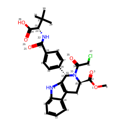 COC(=O)[C@H]1Cc2c([nH]c3ccccc23)[C@H](c2ccc(C(=O)N[C@H](C(=O)O)C(C)(C)C)cc2)N1C(=O)CCl